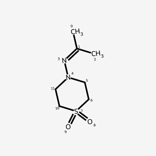 CC(C)=NN1CCS(=O)(=O)CC1